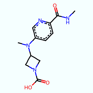 CNC(=O)c1ccc(N(C)C2CN(C(=O)O)C2)cn1